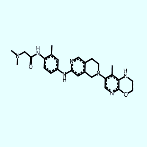 Cc1cc(Nc2cc3c(cn2)CCN(c2cnc4c(c2C)NCCO4)C3)ccc1NC(=O)CN(C)C